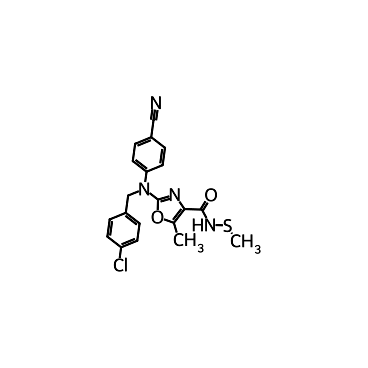 CSNC(=O)c1nc(N(Cc2ccc(Cl)cc2)c2ccc(C#N)cc2)oc1C